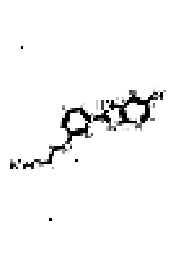 COCCOc1cccc(-c2nc3ncc(Br)cc3[nH]2)c1